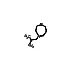 CN(C)CN1CCC[N]CC1